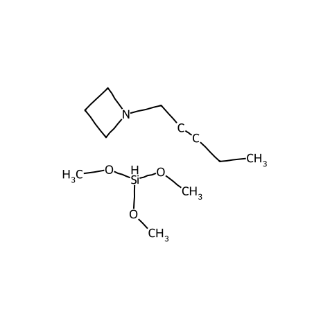 CCCCCN1CCC1.CO[SiH](OC)OC